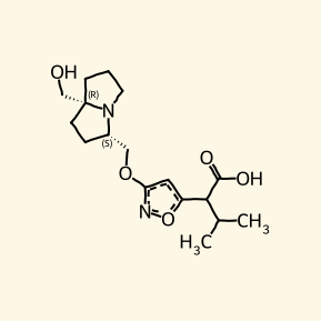 CC(C)C(C(=O)O)c1cc(OC[C@@H]2CC[C@@]3(CO)CCCN23)no1